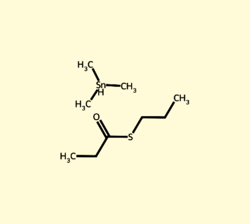 CCCSC(=O)CC.[CH3][SnH]([CH3])[CH3]